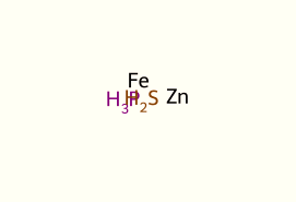 P.S.[Fe].[Zn]